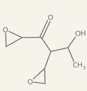 CC(O)C(C(=O)C1CO1)C1CO1